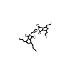 O=C1C2C(CCI)CC(CCI)C2C(=O)N1CNCN1C(=O)C2C(CCI)CC(CCI)C2C1=O